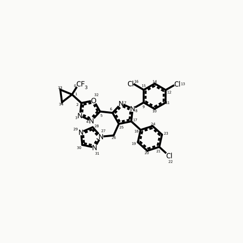 FC(F)(F)C1(c2nnc(-c3nn(-c4ccc(Cl)cc4Cl)c(-c4ccc(Cl)cc4)c3Cn3cncn3)o2)CC1